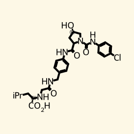 CC(C)C[C@@H](NCC(=O)NCc1ccc(NC(=O)C2C[C@@H](O)CN2C(=O)Nc2ccc(Cl)cc2)cc1)C(=O)O